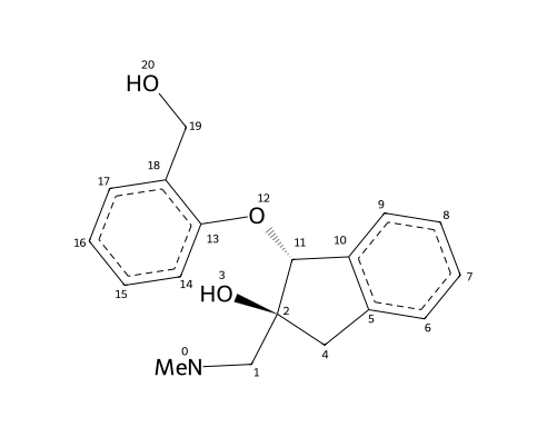 CNC[C@@]1(O)Cc2ccccc2[C@H]1Oc1ccccc1CO